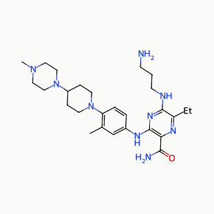 CCc1nc(C(N)=O)c(Nc2ccc(N3CCC(N4CCN(C)CC4)CC3)c(C)c2)nc1NCCCN